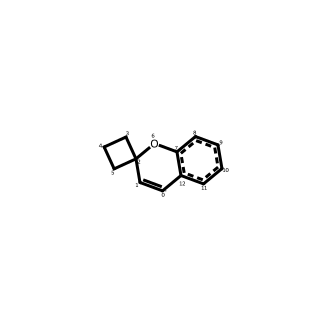 [C]1=CC2(CCC2)Oc2ccccc21